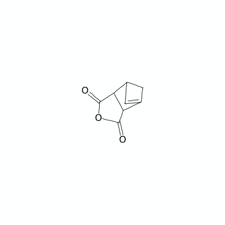 O=C1OC(=O)C2C3C=C(C3)C12